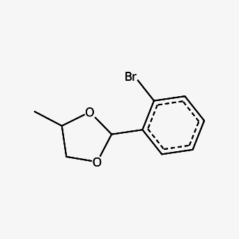 CC1COC(c2ccccc2Br)O1